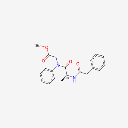 C[C@H](NC(=O)Cc1ccccc1)C(=O)N(CC(=O)OC(C)(C)C)c1ccccc1